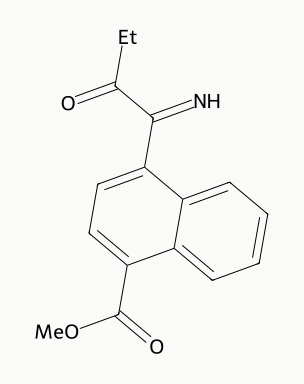 CCC(=O)C(=N)c1ccc(C(=O)OC)c2ccccc12